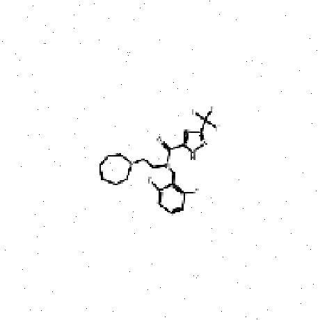 O=C(c1cc(C(F)(F)F)n[nH]1)N(CCN1CCCCCC1)Cc1c(F)cccc1F